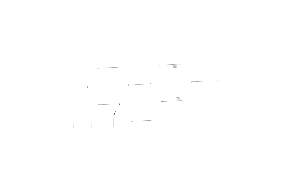 CCCC[C@@H]1CCC[C@@]2(C)c3ccc(O)cc3CC[C@H]12